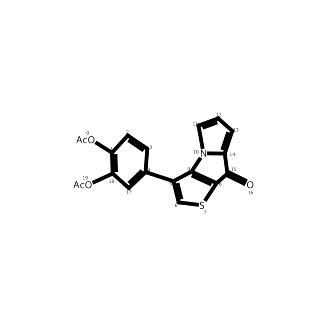 CC(=O)Oc1ccc(-c2csc3c2-n2cccc2C3=O)cc1OC(C)=O